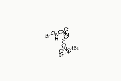 CC(C)(C)c1ccnc(-n2c3ccc(CC(C)(C)c4ccnc(-n5c6ccccc6c6ccc(Nc7cccc(Br)c7)cc65)c4)cc3c3ccc(Br)cc32)c1